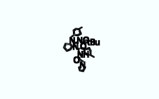 Cc1ccc(C[C@@H](CNC(=O)Cn2cccc2)n2c(=NC(=O)OC(C)(C)C)n(Cc3ccc(C)cc3)c3ccccc32)cc1